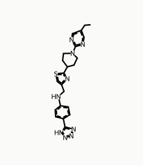 CCc1cnc(N2CCC(c3nc(CNc4ccc(-c5nnn[nH]5)cc4)cs3)CC2)nc1